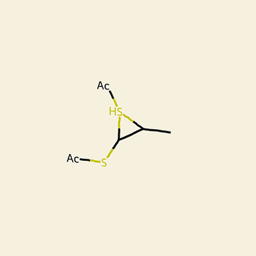 CC(=O)SC1C(C)[SH]1C(C)=O